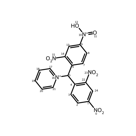 O=[N+]([O-])c1ccc(C(c2ccc([N+](=O)O)cc2[N+](=O)[O-])[n+]2ccccc2)c([N+](=O)[O-])c1